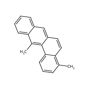 Cc1cccc2c1ccc1cc3ccccc3c(C)c12